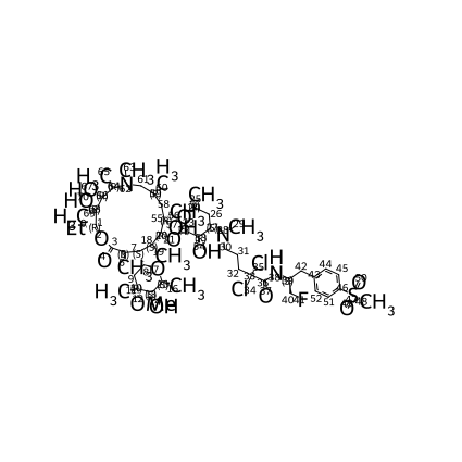 CC[C@H]1OC(=O)[C@H](C)[C@@H](C2C[C@@](C)(OC)[C@@H](O)[C@H](C)O2)[C@H](C)[C@@H](O[C@@H]2O[C@H](C)C[C@H](N(C)CCCC(Cl)(Cl)C(=O)N[C@H](CF)Cc3ccc(S(C)(=O)=O)cc3)[C@H]2O)[C@](C)(O)C[C@@H](C)CN(C)[C@H](C)[C@@H](O)[C@]1(C)O